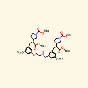 COc1cc(CNCCOc2cc(C[C@H](C(=O)OC(C)(C)C)[C@H]3CCN(C(=O)OC(C)(C)C)C3)cc(OC)c2)cc(C[C@H](C(=O)OC(C)(C)C)[C@H]2CCN(C(=O)OC(C)(C)C)C2)c1